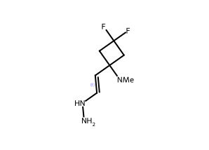 CNC1(/C=C/NN)CC(F)(F)C1